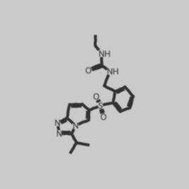 CCNC(=O)NCc1ccccc1S(=O)(=O)c1ccc2nnc(C(C)C)n2c1